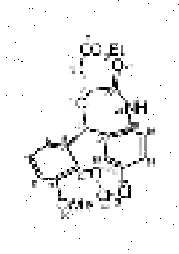 CCOC(=O)C[C@H]1O[C@H](c2cccc(OC)c2OC(F)(F)F)c2cc(Cl)ccc2NC1=O